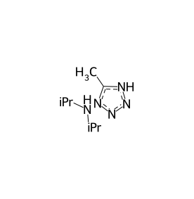 CC(C)NC(C)C.Cc1nnn[nH]1